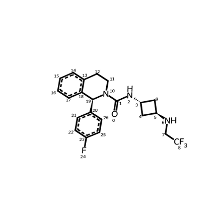 O=C(N[C@H]1C[C@H](NCC(F)(F)F)C1)N1CCc2ccccc2[C@@H]1c1ccc(F)cc1